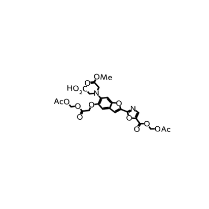 COC(=O)CN(CC(=O)O)c1cc2oc(-c3ncc(C(=O)OCOC(C)=O)o3)cc2cc1OCC(=O)OCOC(C)=O